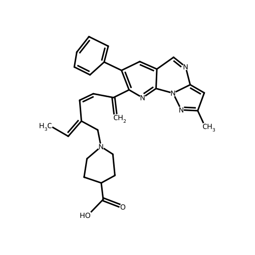 C=C(/C=C\C(=C/C)CN1CCC(C(=O)O)CC1)c1nc2c(cnc3cc(C)nn32)cc1-c1ccccc1